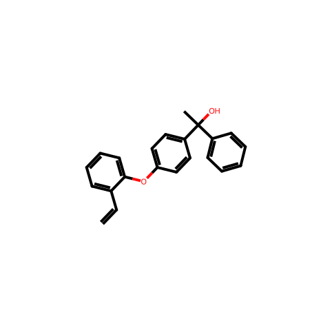 C=Cc1ccccc1Oc1ccc(C(C)(O)c2ccccc2)cc1